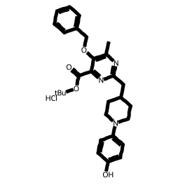 Cc1nc(CC2CCN(c3ccc(O)cc3)CC2)nc(C(=O)OC(C)(C)C)c1OCc1ccccc1.Cl